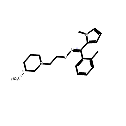 Cc1ccccc1/C(=N\OCCN1CCC[C@@H](C(=O)O)C1)c1cccn1C